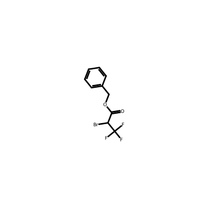 O=C(OCc1ccccc1)C(Br)C(F)(F)F